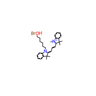 C[N+]1=C(/C=C/C=C2\N(CCCCCCO)c3ccccc3C2(C)C)C(C)(C)c2ccccc21.[Br-]